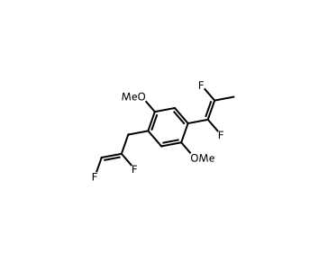 COc1cc(/C(F)=C(/C)F)c(OC)cc1C/C(F)=C/F